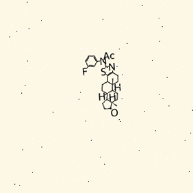 CC(=O)N(c1cccc(F)c1)c1nc2c(s1)C1CC[C@@H]3[C@H](CC[C@]4(C)C(=O)CC[C@@H]34)[C@@]1(C)CC2